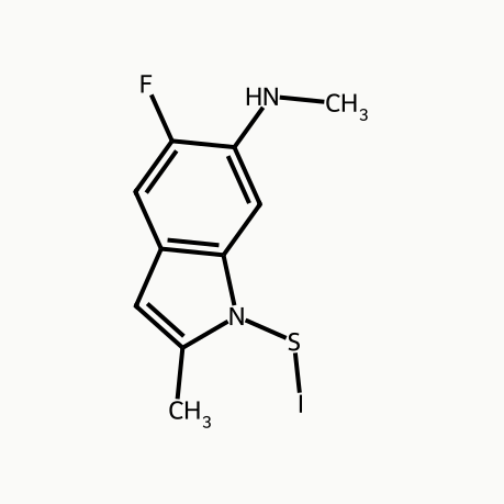 CNc1cc2c(cc1F)cc(C)n2SI